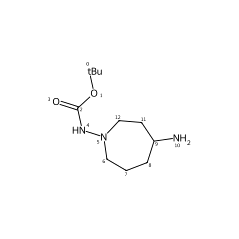 CC(C)(C)OC(=O)NN1CCCC(N)CC1